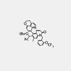 CC(=O)C(OC(C)(C)C)c1c(C)cc2c(ccc(=O)n2Cc2ccccc2OC(F)(F)F)c1-c1ccc2c3c(ccnc13)CCO2